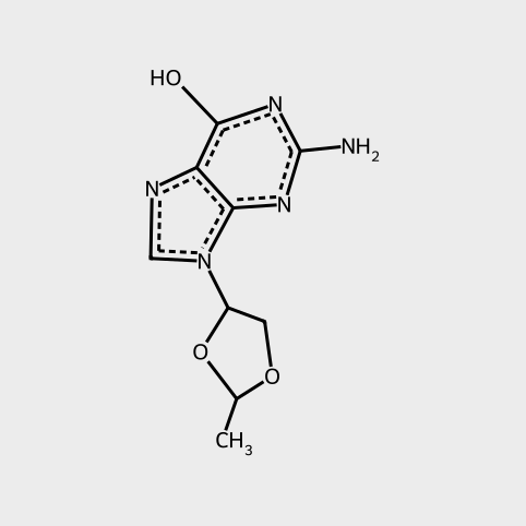 CC1OCC(n2cnc3c(O)nc(N)nc32)O1